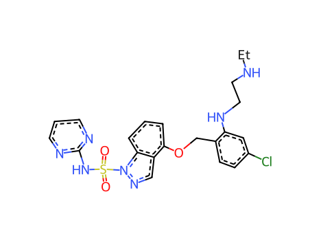 CCNCCNc1cc(Cl)ccc1COc1cccc2c1cnn2S(=O)(=O)Nc1ncccn1